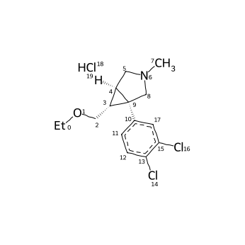 CCOC[C@@H]1[C@H]2CN(C)C[C@@]12c1ccc(Cl)c(Cl)c1.Cl